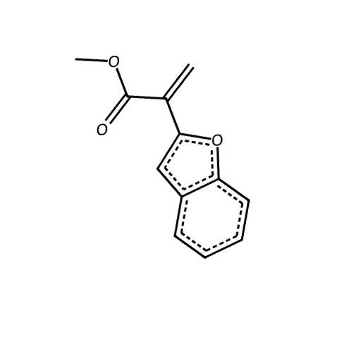 C=C(C(=O)OC)c1cc2ccccc2o1